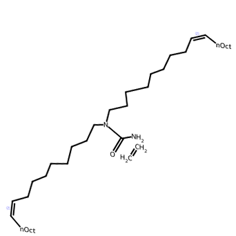 C=C.CCCCCCCC/C=C\CCCCCCCCN(CCCCCCCC/C=C\CCCCCCCC)C(N)=O